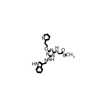 COC(=O)CNc1nc(NN=Cc2c[nH]c3ccccc23)nc(OCCc2ccccn2)n1